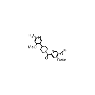 COc1cc(C(=O)N2CCC(c3cnc(C)cc3OC)CC2)ncc1OC(C)C